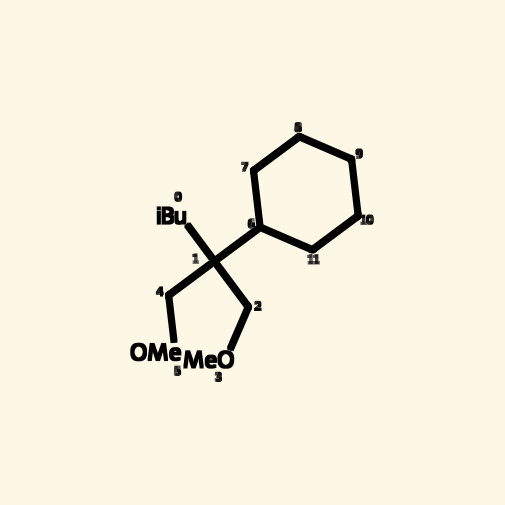 CCC(C)C(COC)(COC)C1CCCCC1